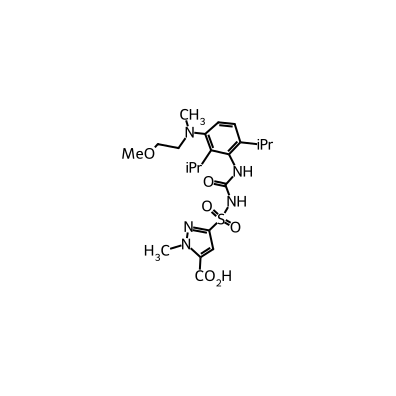 COCCN(C)c1ccc(C(C)C)c(NC(=O)NS(=O)(=O)c2cc(C(=O)O)n(C)n2)c1C(C)C